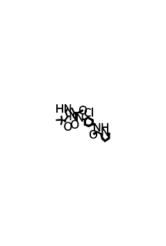 CC(C)(C)C(=O)C1CNCC2C(=O)N(c3ccc(NC(=O)c4ccccn4)cc3Cl)C(=O)N21